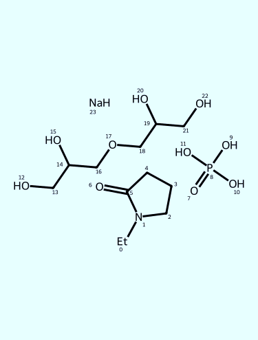 CCN1CCCC1=O.O=P(O)(O)O.OCC(O)COCC(O)CO.[NaH]